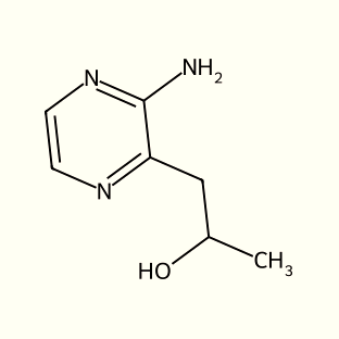 CC(O)Cc1nccnc1N